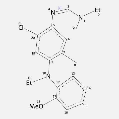 CCN(C)/C=N\c1cc(C)c(N(CC)c2ccccc2OC)cc1Cl